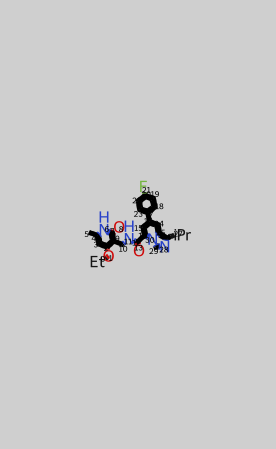 CCOc1cc(C)[nH]c(=O)c1CNC(=O)c1cc(-c2ccc(F)cc2)cc2c(C(C)C)ncn12